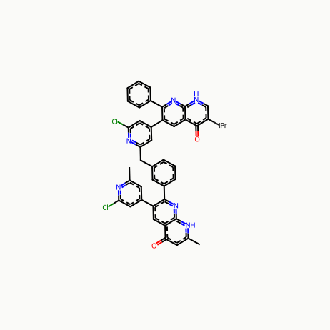 Cc1cc(-c2cc3c(=O)cc(C)[nH]c3nc2-c2cccc(Cc3cc(-c4cc5c(=O)c(C(C)C)c[nH]c5nc4-c4ccccc4)cc(Cl)n3)c2)cc(Cl)n1